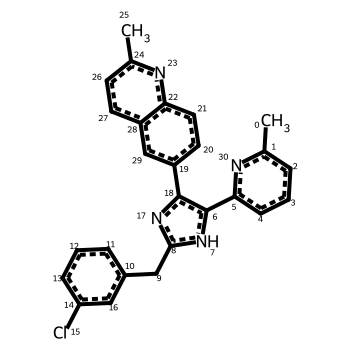 Cc1cccc(-c2[nH]c(Cc3cccc(Cl)c3)nc2-c2ccc3nc(C)ccc3c2)n1